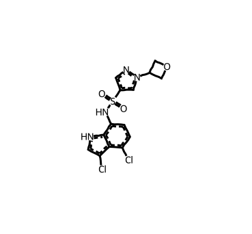 O=S(=O)(Nc1ccc(Cl)c2c(Cl)c[nH]c12)c1cnn(C2COC2)c1